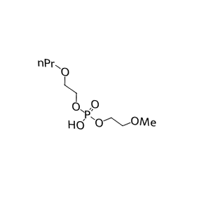 CCCOCCOP(=O)(O)OCCOC